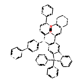 CC(C)c1cc2c(cc1-c1cc3c(cc1N(c1ccc(-c4ccccc4)cc1)c1ccc(-c4ccccc4)cc1)C(c1ccccc1)(c1ccccc1)c1ccccc1-3)CCCC2